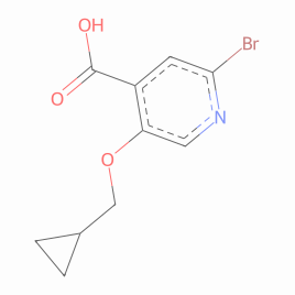 O=C(O)c1cc(Br)ncc1OCC1CC1